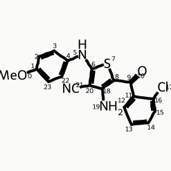 COc1ccc(Nc2sc(C(=O)c3ccccc3Cl)c(N)c2C#N)cc1